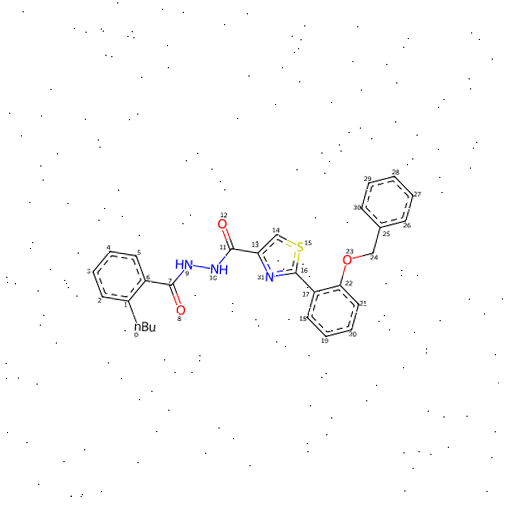 CCCCc1ccccc1C(=O)NNC(=O)c1csc(-c2ccccc2OCc2ccccc2)n1